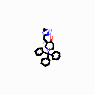 O=C1CCN(C(c2ccccc2)(c2ccccc2)c2ccccc2)C/C1=C/c1nc[nH]n1